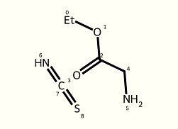 CCOC(=O)CN.N=C=S